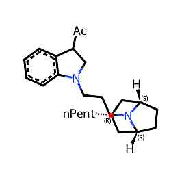 CCCCC[C@H]1C[C@H]2CC[C@@H](C1)N2CCCN1CC(C(C)=O)c2ccccc21